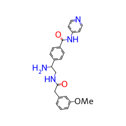 COc1cccc(CC(=O)NCC(N)c2ccc(C(=O)Nc3ccncc3)cc2)c1